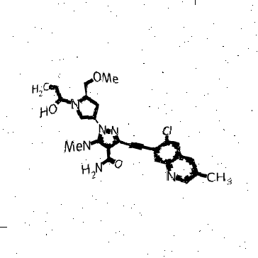 C=CC(O)N1C[C@@H](n2nc(C#Cc3cc4ncc(C)cc4cc3Cl)c(C(N)=O)c2NC)C[C@@H]1COC